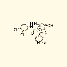 O=C(Nc1ccc(Cl)c(Cl)c1)[C@H]1[C@H](c2ccnc(F)c2)[C@@H]2O[C@H]1C[C@H]2O